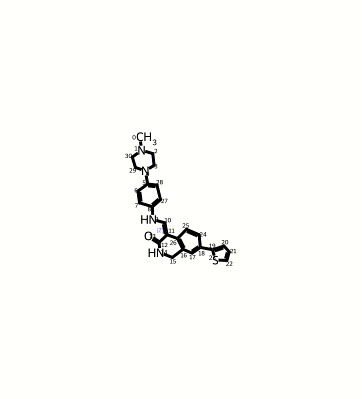 CN1CCN(c2ccc(N/C=C3\C(=O)NCc4cc(-c5cccs5)ccc43)cc2)CC1